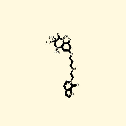 CN1CC(C)(C)C(=O)N(C)C2=C1C=C(OCCCNCCn1ccc3ccoc3c1=O)CC2=O